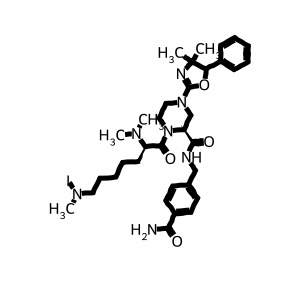 CN(I)CCCCC[C@H](C(=O)N1CCN(C2=NC(C)(C)C(c3ccccc3)O2)C[C@H]1C(=O)NCc1ccc(C(N)=O)cc1)N(C)C